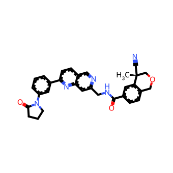 C[C@@]1(C#N)COCc2ccc(C(=O)NCc3cc4nc(-c5cccc(N6CCCC6=O)c5)ccc4cn3)cc21